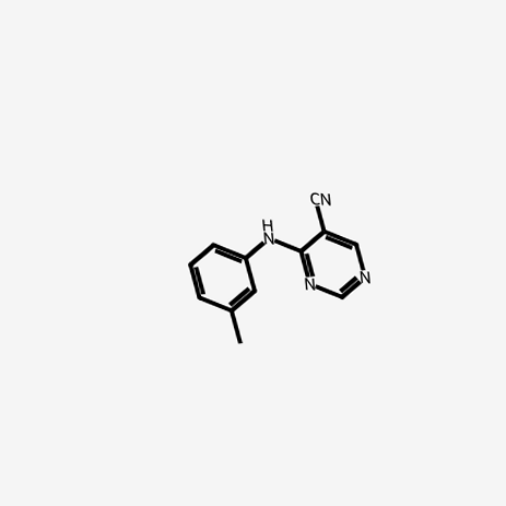 Cc1cccc(Nc2ncncc2C#N)c1